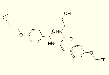 O=C(NCCO)/C(=C\c1ccc(OCC(F)(F)F)cc1)NC(=O)c1ccc(OCCC2CC2)cc1